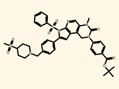 CN1C(=O)N(c2ccc(C(=O)OC(C)(C)C)cc2)Cc2c1cnc1c2cc(-c2ccc(CN3CCC(S(C)(=O)=O)CC3)cc2)n1S(=O)(=O)c1ccccc1